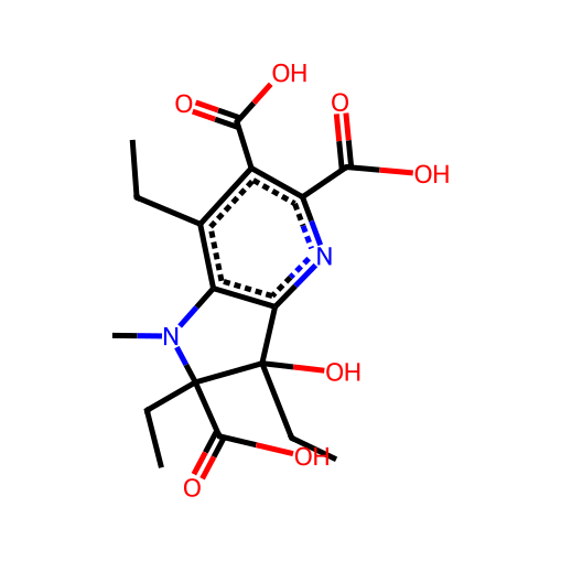 CCc1c(C(=O)O)c(C(=O)O)nc2c1N(C)C(CC)(C(=O)O)C2(O)CC